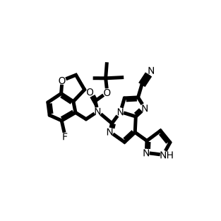 CC(C)(C)OC(=O)N(Cc1c(F)ccc2c1CCO2)c1ncc(-c2cc[nH]n2)c2nc(C#N)cn12